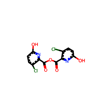 O=C(OC(=O)c1nc(O)ccc1Cl)c1nc(O)ccc1Cl